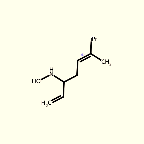 C=CC(C/C=C(\C)C(C)C)NO